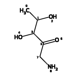 CC(O)C(O)C(=O)CN